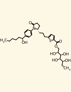 CCCCC[C@H](O)c1ccc(N2C(=O)CC[C@@H]2CCCc2ccc(C(=O)OC[C@H](O)[C@@H](O)[C@H](O)[C@@H](O)CC)s2)cc1